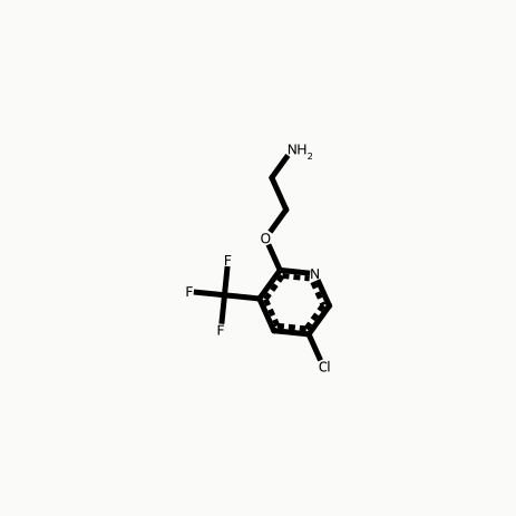 NCCOc1ncc(Cl)cc1C(F)(F)F